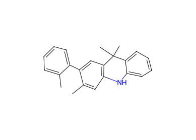 Cc1ccccc1-c1cc2c(cc1C)Nc1ccccc1C2(C)C